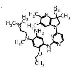 CCOc1cc(N(C)CCN(C)C)c(N)cc1Nc1nccc(N2CC(C)(C)c3nc(C)c(C)cc32)n1